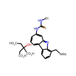 CCNC(=S)Nc1cccc2c3cccc(CNC)c3nc-2c1.O=C(O)CC(O)(CC(=O)O)C(=O)O